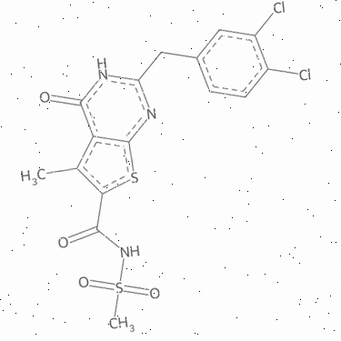 Cc1c(C(=O)NS(C)(=O)=O)sc2nc(Cc3ccc(Cl)c(Cl)c3)[nH]c(=O)c12